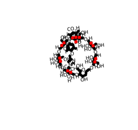 CC(C)(C1O[C@H]2O[C@H]3C(O)C[C@H](OC3CO)O[C@@H]3C(CO)O[C@@H](O[C@@H]4C(CO)O[C@@H](O[C@H]5C(CO)O[C@H](O[C@@H]6C(CO)O[C@H](O[C@@H]7C(CO)O[C@@H](O[C@H]1C(O)C2O)C(O)C7O)C(O)C6O)C(O)C5O)C(O)C4O)C(O)C3O)n1cc(COc2c(I)cc(Oc3c(I)cc(CC(=O)O)cc3I)cc2I)nn1